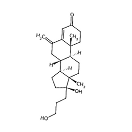 C=C1C[C@@H]2[C@H](CC[C@@]3(C)[C@H]2CC[C@@]3(O)CCCO)[C@@]2(C)CCC(=O)C=C12